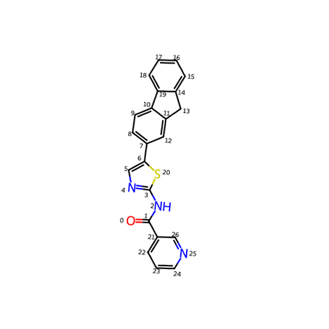 O=C(Nc1ncc(-c2ccc3c(c2)Cc2ccccc2-3)s1)c1cccnc1